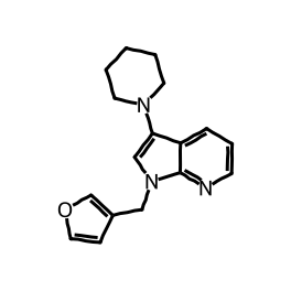 c1cnc2c(c1)c(N1CCCCC1)cn2Cc1ccoc1